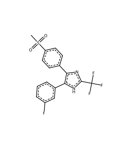 CS(=O)(=O)c1ccc(-c2nc(C(F)(F)F)[nH]c2-c2cccc(F)c2)cc1